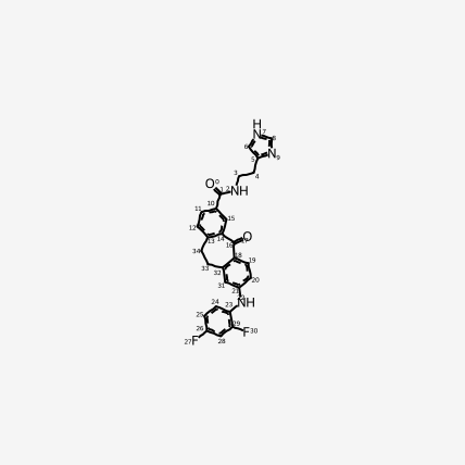 O=C(NCCc1c[nH]cn1)c1ccc2c(c1)C(=O)c1ccc(Nc3ccc(F)cc3F)cc1CC2